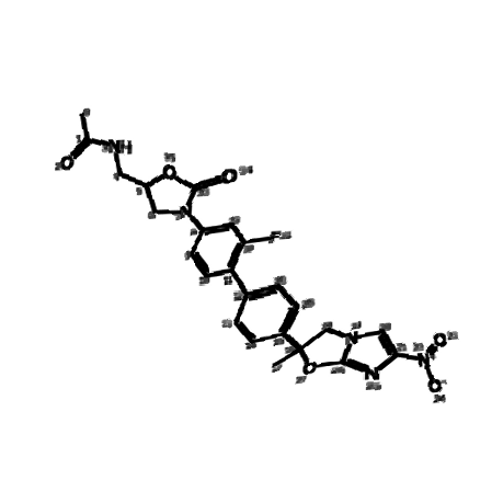 CC(=O)NCC1CN(c2ccc(-c3ccc(C4(C)Cn5cc([N+](=O)[O-])nc5O4)cc3)c(F)c2)C(=O)O1